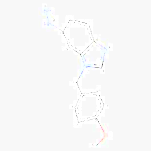 COc1ccc(Cn2cnc3ccc(NN)cc32)cc1